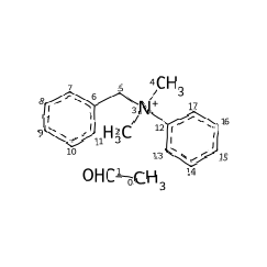 CC=O.C[N+](C)(Cc1ccccc1)c1ccccc1